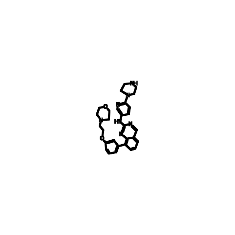 c1cc(OCCN2CCOCC2)cc(-c2cccc3cnc(Nc4ccc(N5CCNCC5)nc4)nc23)c1